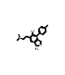 Cc1ccc(-c2c(C#N)c(CCN(C)C)cc3c2COC3)cc1.Cl